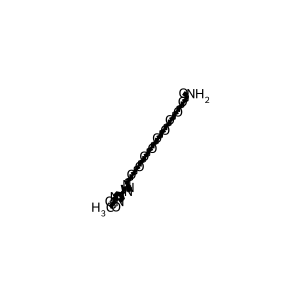 CS(=O)(=O)c1ncc(-c2cn(CCOCCOCCOCCOCCOCCOCCOCCOCCOCC(N)=O)nn2)cn1